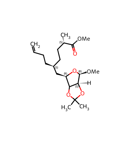 C=CCC[C@@H](CC[C@H](C)C(=O)OC)C[C@H]1O[C@@H](OC)[C@H]2OC(C)(C)OC12